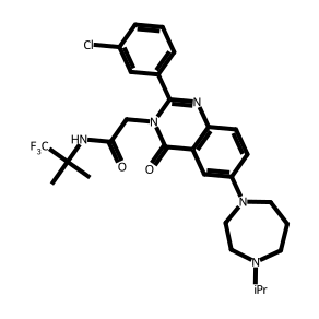 CC(C)N1CCCN(c2ccc3nc(-c4cccc(Cl)c4)n(CC(=O)NC(C)(C)C(F)(F)F)c(=O)c3c2)CC1